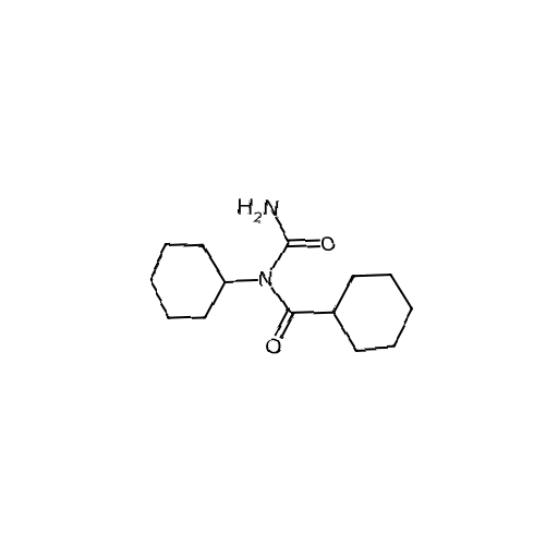 NC(=O)N(C(=O)C1CCCCC1)C1CCCCC1